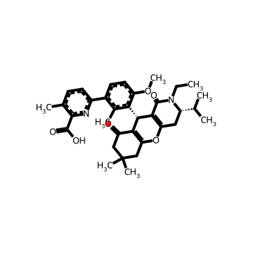 CCN1C(=O)C2=C(C[C@H]1C(C)C)OC1=C(C(=O)CC(C)(C)C1)[C@@H]2c1c(OC)ccc(-c2ccc(C)c(C(=O)O)n2)c1C